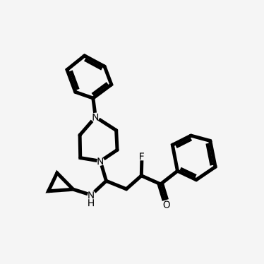 O=C(c1ccccc1)C(F)CC(NC1CC1)N1CCN(c2ccccc2)CC1